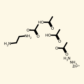 CC(=O)O.CC(=O)O.CC(=O)[O-].CC(=O)[O-].N.N.NCCN.[Zn+2]